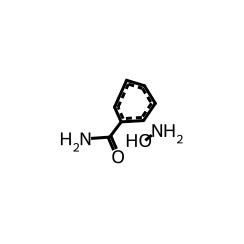 NC(=O)c1ccccc1.NO